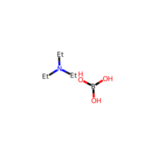 CCN(CC)CC.OB(O)O